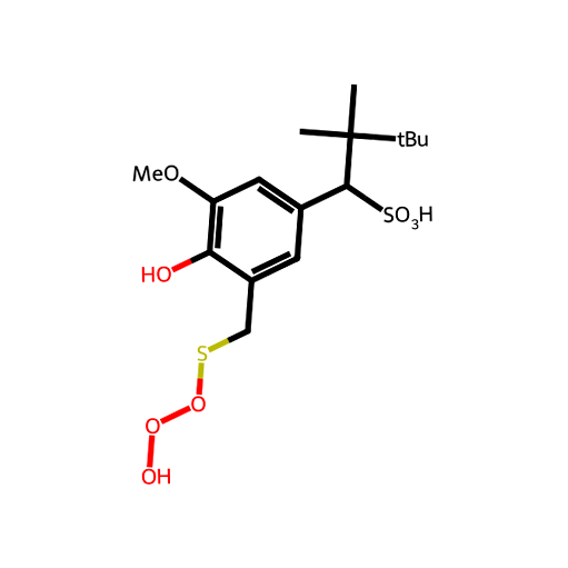 COc1cc(C(C(C)(C)C(C)(C)C)S(=O)(=O)O)cc(CSOOO)c1O